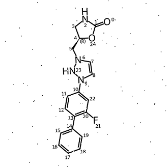 O=C1NC[C@H](CN2C=CN(c3ccc(-c4ccccc4)c(F)c3)N2)O1